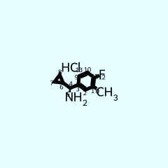 Cc1cc([C@@H](N)C2CC2)ccc1F.Cl